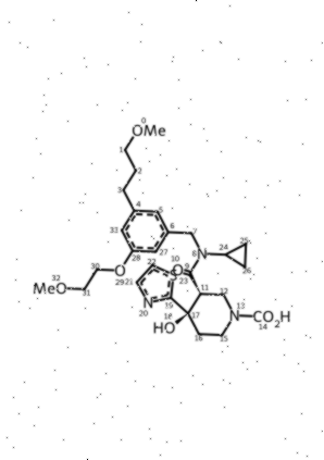 COCCCc1cc(CN(C(=O)[C@H]2CN(C(=O)O)CC[C@]2(O)c2nccs2)C2CC2)cc(OCCOC)c1